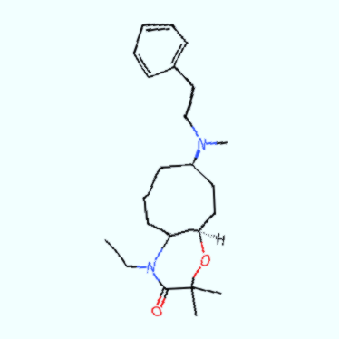 CCN1C(=O)C(C)(C)O[C@@H]2CC[C@H](N(C)CCc3ccccc3)CCCC21